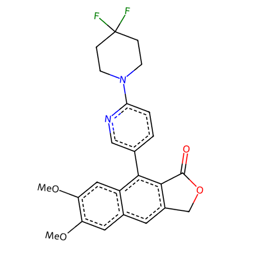 COc1cc2cc3c(c(-c4ccc(N5CCC(F)(F)CC5)nc4)c2cc1OC)C(=O)OC3